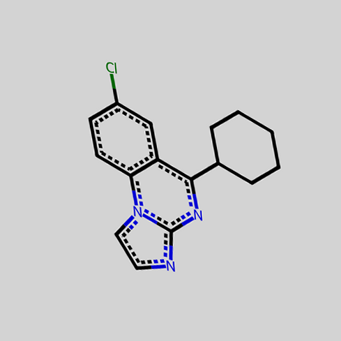 Clc1ccc2c(c1)c(C1CCCCC1)nc1nccn12